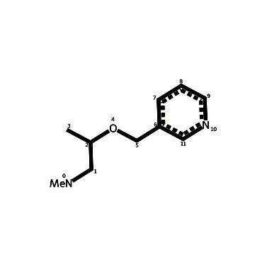 CNCC(C)OCc1cccnc1